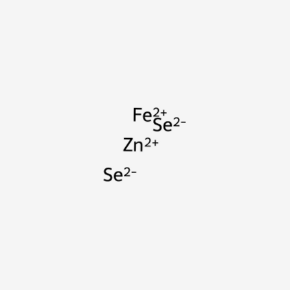 [Fe+2].[Se-2].[Se-2].[Zn+2]